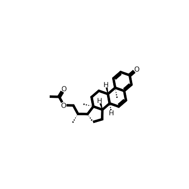 CC(=O)OC[C@@H](C)[C@H]1CC[C@H]2[C@@H]3C=CC4=CC(=O)C=C[C@]4(C)[C@H]3CC[C@]12C